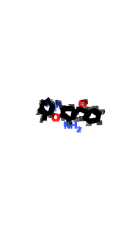 Cc1ccccc1Oc1c(N)cc(C(=O)c2ccccc2)cc1N